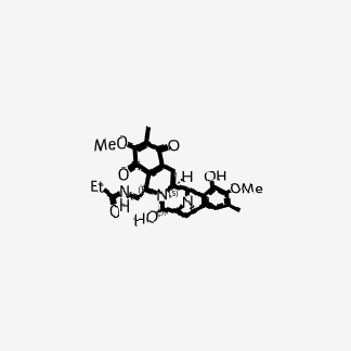 CCC(=O)NC[C@H]1C2=C(C[C@H]3C4c5c(cc(C)c(OC)c5O)CC([C@H](O)N13)N4C)C(=O)C(C)=C(OC)C2=O